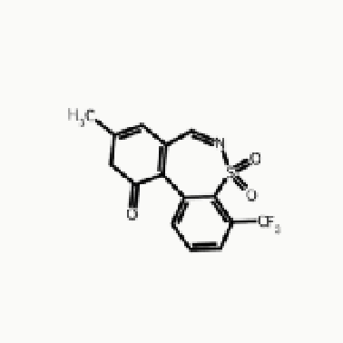 CC1=CC2=C(C(=O)C1)c1cccc(C(F)(F)F)c1S(=O)(=O)N=C2